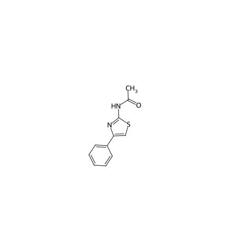 CC(=O)Nc1nc(-c2ccccc2)cs1